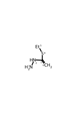 C=C(NN)SCC